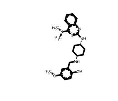 CN(C)c1nc(N[C@H]2CC[C@@H](NCc3cc(OC(F)(F)F)ccc3O)CC2)nc2ccccc12